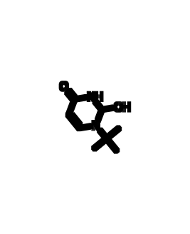 CC(C)(C)N1C=CC(=O)NC1O